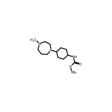 CN1CCCN(C2CCC(NC(=O)OC(C)(C)C)CC2)CC1